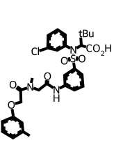 Cc1cccc(OCC(=O)N(C)CC(=O)Nc2cccc(S(=O)(=O)N(c3cccc(Cl)c3)C(C(=O)O)C(C)(C)C)c2)c1